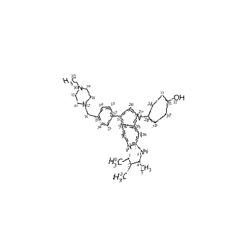 CCC(C)C(C)Nc1ncc2c(-c3ccc(CN4CCN(C)CC4)cc3)cn(C3CCC(O)CC3)c2n1